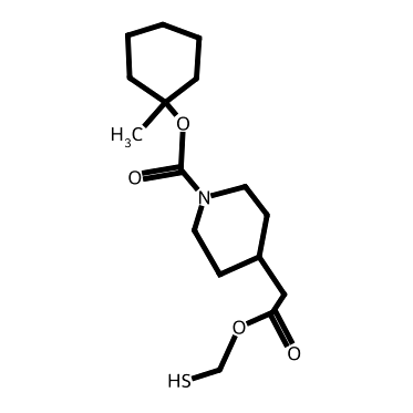 CC1(OC(=O)N2CCC(CC(=O)OCS)CC2)CCCCC1